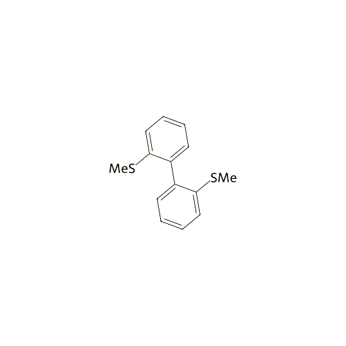 CSc1ccccc1-c1ccccc1SC